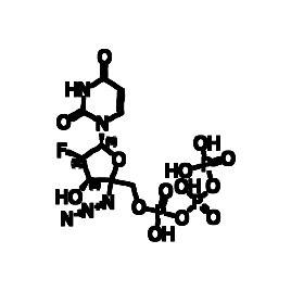 [N-]=[N+]=NC1(COP(=O)(O)OP(=O)(O)OP(=O)(O)O)O[C@@H](n2ccc(=O)[nH]c2=O)[C@H](F)[C@@H]1O